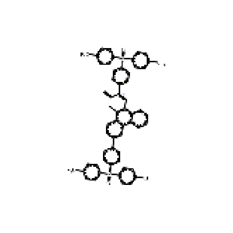 C=C/C(=C\c1c(C)c2ccc(-c3ccc(P(=O)(c4ccc(C(F)(F)F)cc4)c4ccc(C(F)(F)F)cc4)cc3)cc2c2ccccc12)c1ccc(P(=O)(c2ccc(C(F)(F)F)cc2)c2ccc(C(F)(F)F)cc2)cc1